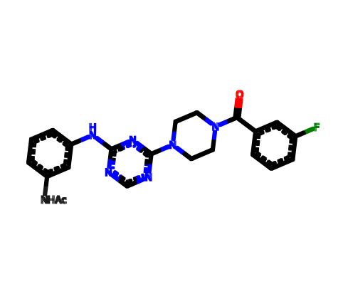 CC(=O)Nc1cccc(Nc2ncnc(N3CCN(C(=O)c4cccc(F)c4)CC3)n2)c1